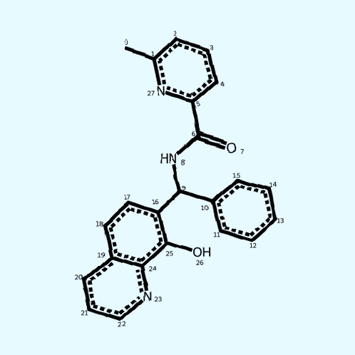 Cc1cccc(C(=O)NC(c2ccccc2)c2ccc3cccnc3c2O)n1